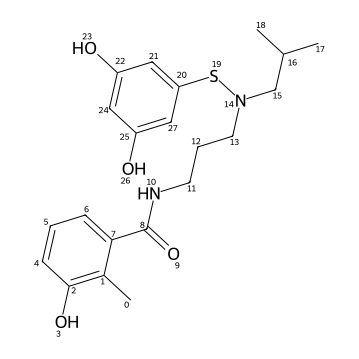 Cc1c(O)cccc1C(=O)NCCCN(CC(C)C)Sc1cc(O)cc(O)c1